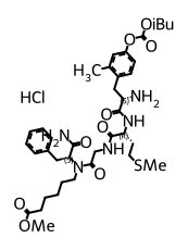 COC(=O)CCCCCN(C(=O)CNC(=O)[C@@H](CCSC)NC(=O)[C@@H](N)Cc1ccc(OC(=O)OCC(C)C)cc1C)[C@@H](Cc1ccccc1)C(N)=O.Cl